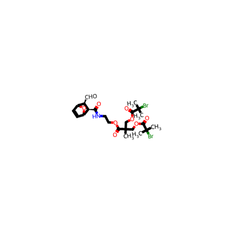 CC(C)(Br)C(=O)OCC(C)(COC(=O)C(C)(C)Br)C(=O)OCCNC(=O)[C@H]1C2C=CC(O2)[C@H]1C=O